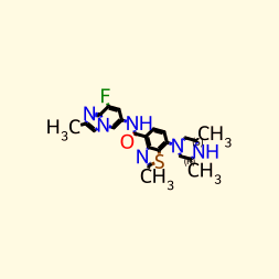 Cc1cn2cc(NC(=O)c3ccc(N4C[C@@H](C)N[C@@H](C)C4)c4sc(C)nc34)cc(F)c2n1